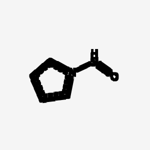 O=[SiH]n1cccc1